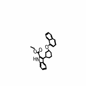 CCOC(=O)c1[nH]c2ccccc2c1C1CCCC(Oc2cccc3ccccc23)C1